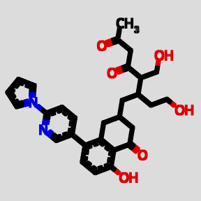 CC(=O)CC(=O)C(CO)C(CCO)CC1CC(=O)c2c(O)ccc(-c3ccc(-n4cccc4)nc3)c2C1